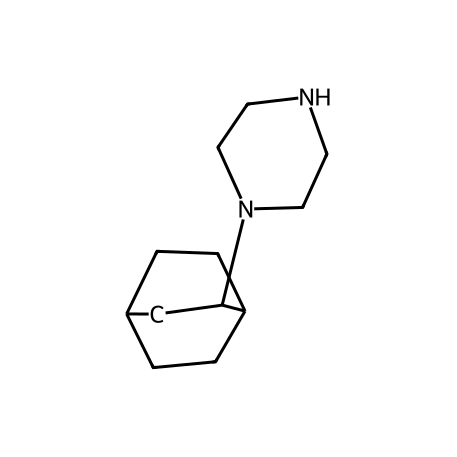 C1CN(C2CC3CCC2CC3)CCN1